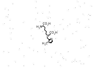 Cn1ccnc1CN(CCCC[C@H](N)C(=O)O)CC(=O)O